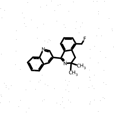 CC1(C)Cc2c(CF)cccc2C(c2cnc3ccccc3c2)=N1